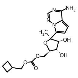 C[C@@]1(c2ccc3c(N)ncnn23)O[C@H](COC(=O)OCC2CCC2)[C@@H](O)[C@H]1O